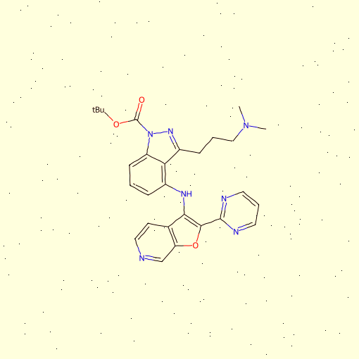 CN(C)CCCc1nn(C(=O)OC(C)(C)C)c2cccc(Nc3c(-c4ncccn4)oc4cnccc34)c12